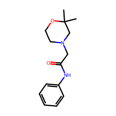 CC1(C)CN(CC(=O)Nc2ccccc2)CCO1